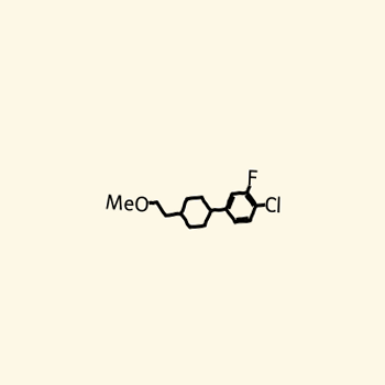 COCCC1CCC(c2ccc(Cl)c(F)c2)CC1